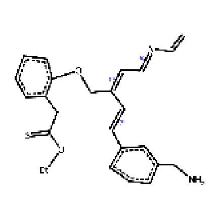 C=C/N=C/C=C(\C=C\c1cccc(CN)c1)COc1ccccc1CC(=S)OCC